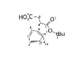 CC(C)(C)OC(=O)CCC(=O)O.c1ccc2c(c1)C2